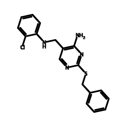 Nc1nc(SCc2ccccc2)ncc1CNc1ccccc1Cl